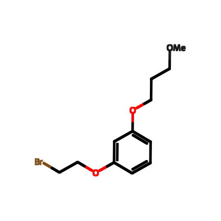 COCCCOc1cccc(OCCBr)c1